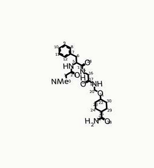 CNCC(=O)NC(Cc1ccccc1)C(=O)NCC(=O)NCOC1CCC(C(N)=O)CC1